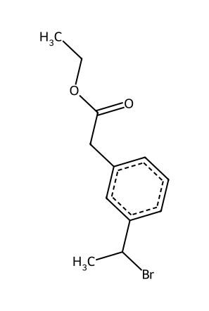 CCOC(=O)Cc1cccc(C(C)Br)c1